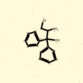 CC(C)CC(N)C(O)(c1ccccc1)c1ccccc1